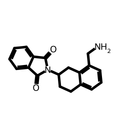 NCc1cccc2c1CC(N1C(=O)c3ccccc3C1=O)CC2